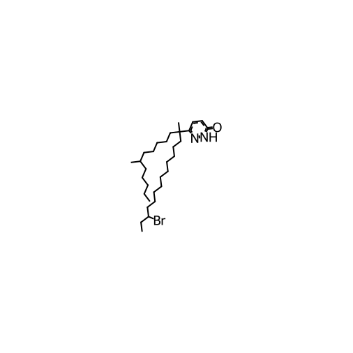 CCCCCC(C)CCCCCC(C)(CCCCCCCCCCC(Br)CC)c1ccc(=O)[nH]n1